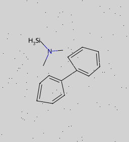 CN(C)[SiH3].c1ccc(-c2ccccc2)cc1